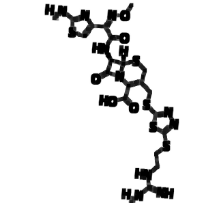 CO/N=C(\C(=O)N[C@@H]1C(=O)N2C(C(=O)O)=C(CSc3nnc(SCCNC(=N)N)s3)CS[C@@H]12)c1csc(N)n1